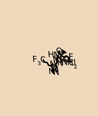 Nc1nc(-c2cn3ncnc3c(CCCC(F)(F)F)n2)nc2c1C(c1ccc(Cl)c(F)c1)(C1CC1)C(=O)N2